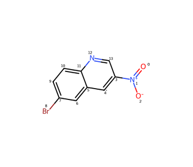 O=[N+]([O-])c1[c]c2cc(Br)ccc2nc1